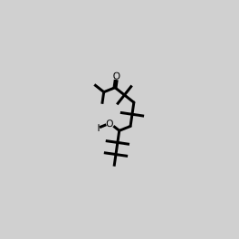 CC(C)C(=O)C(C)(C)CC(C)(C)CC(OI)C(C)(C)C(C)(C)C